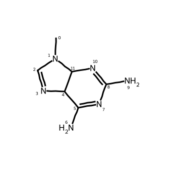 CN1C=NC2C(N)=NC(N)=NC21